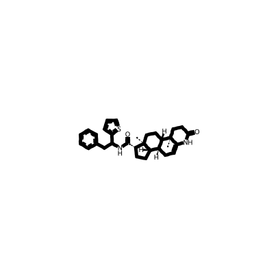 C[C@]12CC[C@H]3[C@@H](CC=C4NC(=O)CC[C@@]43C)[C@@H]1CC[C@@H]2C(=O)NC(Cc1ccccc1)c1cccs1